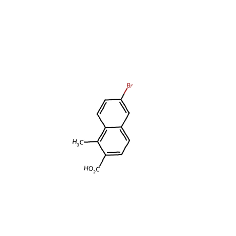 Cc1c(C(=O)O)ccc2cc(Br)ccc12